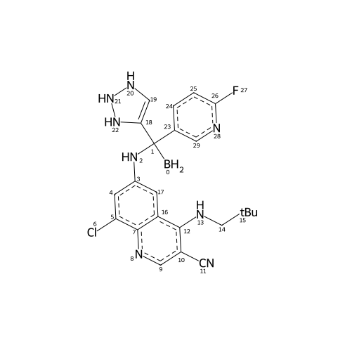 BC(Nc1cc(Cl)c2ncc(C#N)c(NCC(C)(C)C)c2c1)(C1=CNNN1)c1ccc(F)nc1